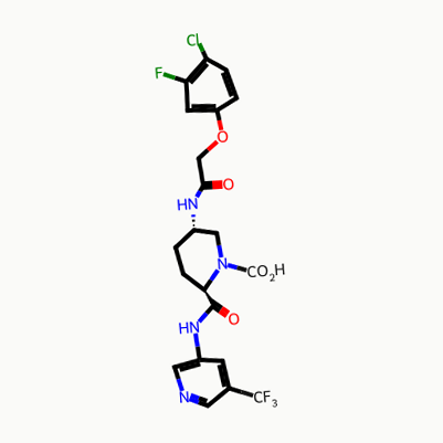 O=C(COc1ccc(Cl)c(F)c1)N[C@H]1CC[C@H](C(=O)Nc2cncc(C(F)(F)F)c2)N(C(=O)O)C1